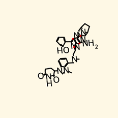 CN(CCCc1cnc(N2C3CCC2CN(c2cc(-c4ccccc4O)nnc2N)C3)nc1)Cc1cccc2c1N(C)CN2C1CCC(=O)NC1=O